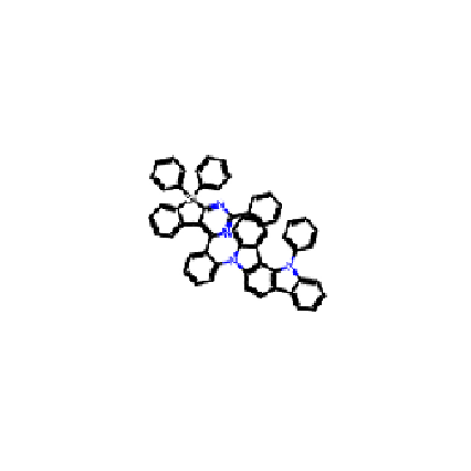 c1ccc(-c2nc(-c3ccccc3-n3c4ccccc4c4c3ccc3c5ccccc5n(-c5ccccc5)c34)c3c(n2)[Si](c2ccccc2)(c2ccccc2)c2ccccc2-3)cc1